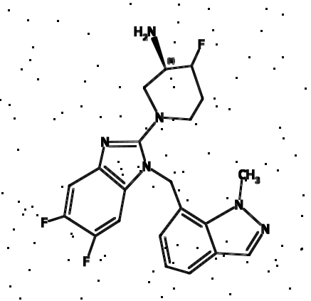 Cn1ncc2cccc(Cn3c(N4CCC(F)[C@H](N)C4)nc4cc(F)c(F)cc43)c21